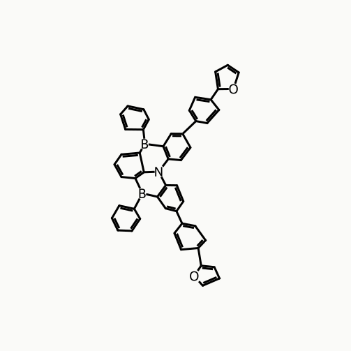 c1ccc(B2c3cc(-c4ccc(-c5ccco5)cc4)ccc3N3c4ccc(-c5ccc(-c6ccco6)cc5)cc4B(c4ccccc4)c4cccc2c43)cc1